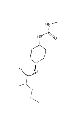 CCCC(C)C(=O)N[C@H]1CC[C@H](NC(=O)NC)CC1